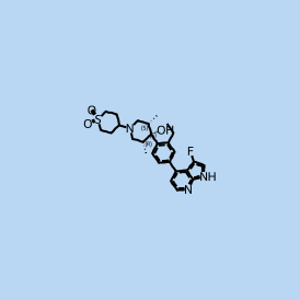 CCc1cc(-c2ccnc3[nH]cc(F)c23)ccc1[C@@]1(O)[C@H](C)CN(C2CCS(=O)(=O)CC2)C[C@@H]1C